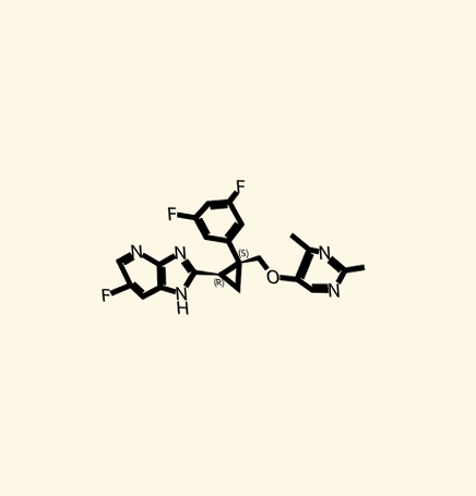 Cc1ncc(OC[C@@]2(c3cc(F)cc(F)c3)C[C@H]2c2nc3ncc(F)cc3[nH]2)c(C)n1